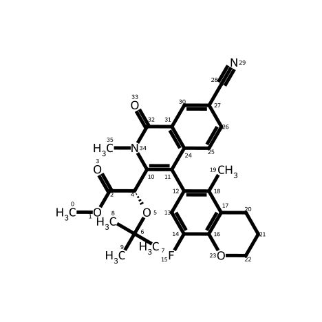 COC(=O)[C@@H](OC(C)(C)C)c1c(-c2cc(F)c3c(c2C)CCCO3)c2ccc(C#N)cc2c(=O)n1C